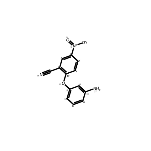 N#Cc1cc([N+](=O)[O-])ccc1Oc1cccc(N)c1